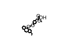 CCOC(Cc1ccc(OCCOC2c3ccccc3C=Cc3cc(CC)ccc32)cc1)C(=O)O